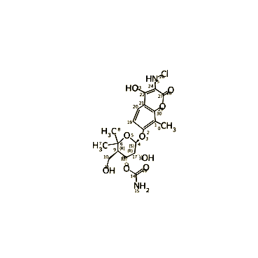 Cc1c(O[C@@H]2OC(C)(C)[C@H](CO)[C@@H](OC(N)=O)[C@H]2O)ccc2c(O)c(NCl)c(=O)oc12